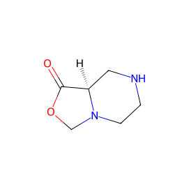 O=C1OCN2CCNC[C@H]12